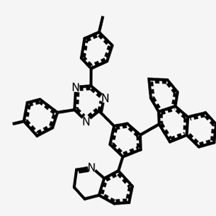 Cc1ccc(-c2nc(-c3ccc(C)cc3)nc(-c3cc(-c4cccc5c4N=CCC5)cc(-c4cc5ccccc5c5ccccc45)c3)n2)cc1